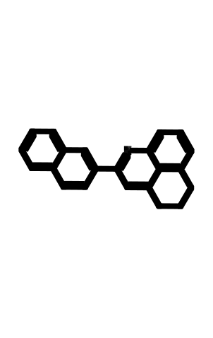 c1ccc2cc(-c3cc4c5c(cccc5n3)CCC4)ccc2c1